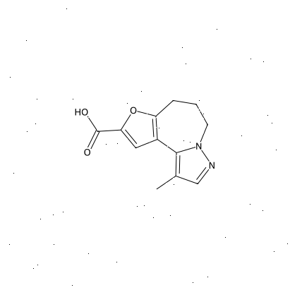 Cc1cnn2c1-c1cc(C(=O)O)oc1CCC2